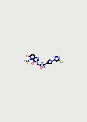 Cn1c(=O)ccc2ncn(Cc3nc(C4C5CN(c6cc(Cl)ncn6)CC54)no3)c(=O)c21